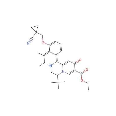 CCOC(=O)c1cn2c(cc1=O)/C(=c1\cccc(OCC3(C#N)CC3)\c1=C(/C)CC)N(C)CC2C(C)(C)C